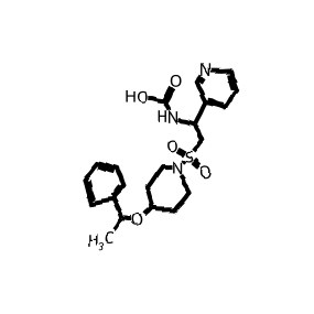 CC(OC1CCN(S(=O)(=O)CC(NC(=O)O)c2cccnc2)CC1)c1ccccc1